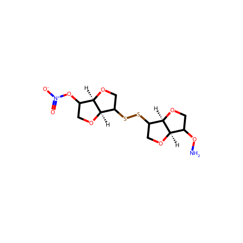 NOC1CO[C@@H]2C(SSC3CO[C@@H]4C(O[N+](=O)[O-])CO[C@H]34)CO[C@H]12